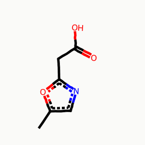 Cc1cnc(CC(=O)O)o1